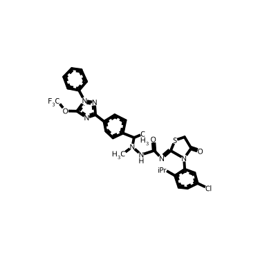 CC(C)c1ccc(Cl)cc1N1C(=O)CSC1=NC(=O)NN(C)C(C)c1ccc(-c2nc(OC(F)(F)F)n(-c3ccccc3)n2)cc1